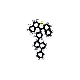 c1ccc(-c2cccc3c(-c4ccc(C5c6c(ccc7ccccc67)Sc6ccc7ccccc7c65)cc4)cccc23)cc1